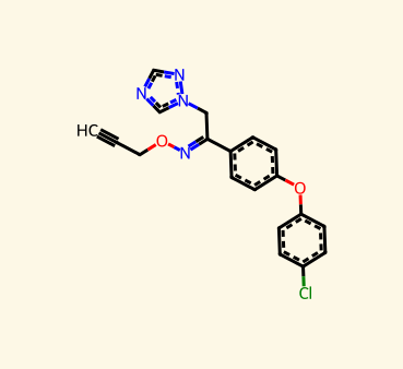 C#CCON=C(Cn1cncn1)c1ccc(Oc2ccc(Cl)cc2)cc1